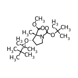 COC(=O)[C@@]1(C)[C@@H](O[Si](C)(C)C(C)(C)C)CCN1C(=O)OC(C)(C)C